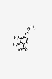 COCCc1ccc(C(=O)O)c(N)c1C